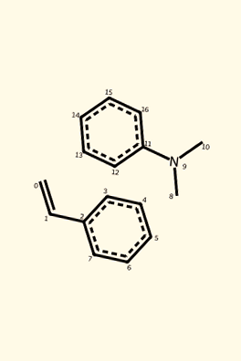 C=Cc1ccccc1.CN(C)c1ccccc1